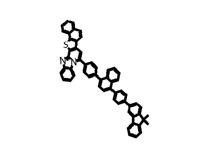 CC1(C)c2ccccc2-c2cc(-c3ccc(-c4ccc(-c5ccc(-c6cc7c8ccc9ccccc9c8sc7c7nc8ccccc8n67)cc5)c5ccccc45)cc3)ccc21